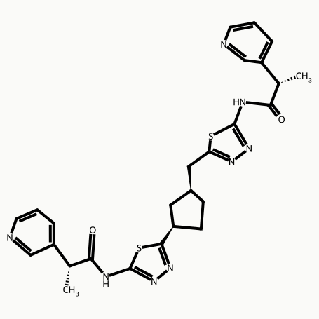 C[C@H](C(=O)Nc1nnc(C[C@H]2CC[C@@H](c3nnc(NC(=O)[C@H](C)c4cccnc4)s3)C2)s1)c1cccnc1